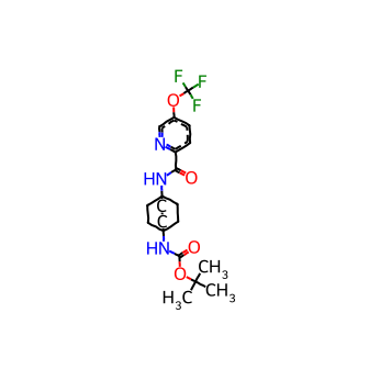 CC(C)(C)OC(=O)NC12CCC(NC(=O)c3ccc(OC(F)(F)F)cn3)(CC1)CC2